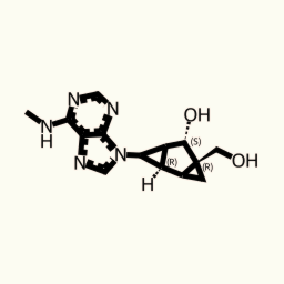 CNc1ncnc2c1ncn2C1C2[C@H]1C1C[C@@]1(CO)[C@H]2O